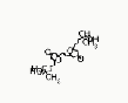 CC(C)(CO)CCCc1cc(=O)cc(C=Cc2cc(=O)cc(CCCC(C)(C)CO)o2)o1